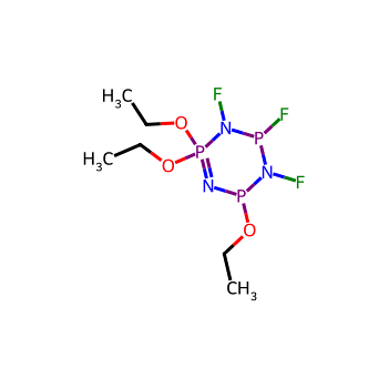 CCOP1N=P(OCC)(OCC)N(F)P(F)N1F